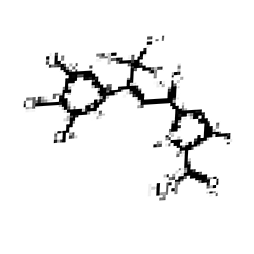 Cc1cc(C(=O)/C=C(/c2cc(Cl)c(Cl)c(Cl)c2)C(F)(F)F)sc1C(N)=O